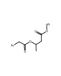 CCCOC(=O)CC(C)OC(=O)CC(C)=O